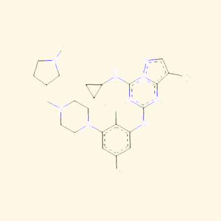 CC(=O)N1CC[C@@H](CN2CCN(c3cc(C#N)cc(Nc4nc(NC5CC5)n5ncc(C#N)c5n4)c3Cl)[C@@H](C)C2)C1